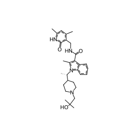 Cc1cc(C)c(CNC(=O)c2c(C)n([C@@H](C)C3CCN(CC(C)(C)O)CC3)c3ccccc23)c(=O)[nH]1